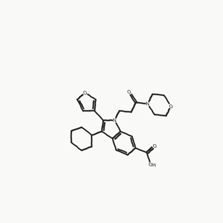 O=C(O)c1ccc2c(C3CCCCC3)c(-c3ccoc3)n(CCC(=O)N3CCOCC3)c2c1